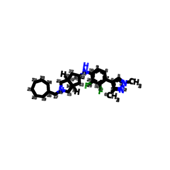 Cc1nn(C)cc1-c1ccc(N[C@@H]2C[C@@H]3CN(CC4CCCCCC4)C[C@@H]3C2)c(F)c1F